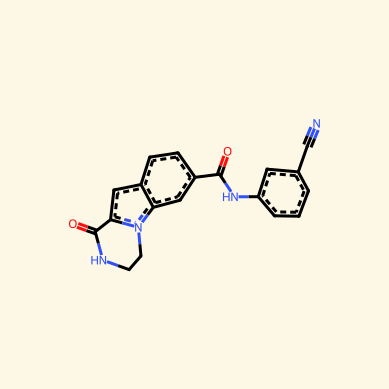 N#Cc1cccc(NC(=O)c2ccc3cc4n(c3c2)CCNC4=O)c1